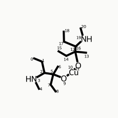 CCC(NC)C(C)(CC)[O][Cu][O]C(C)(CC)C(CC)NC